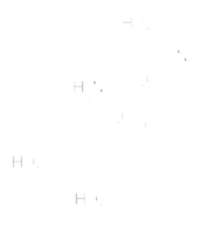 CCCCC(CC)COCC(CN1CC1C)OC(N)=O